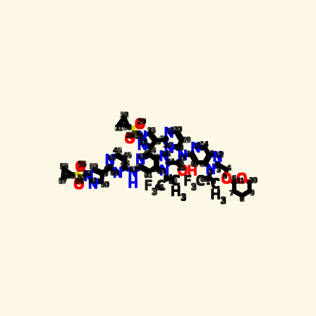 CC(n1c(COC2CCCCO2)nc2cnc(N(c3ccnc(-c4cnn(S(=O)(=O)C5CC5)c4)n3)C(O)c3nc4cnc(Nc5ccnc(-c6cnn(S(=O)(=O)C7CC7)c6)n5)cc4n3C(C)C(F)(F)F)cc21)C(F)(F)F